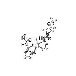 CNC(=O)Nc1cc(-c2cccc(NC(=O)N3CC(OC(C)(C)C)C3)c2C)nn2ccnc12